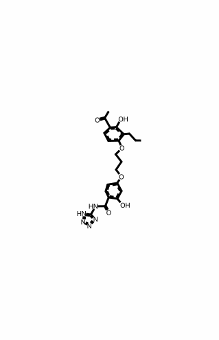 CCCc1c(OCCCOc2ccc(C(=O)Nc3nnn[nH]3)c(O)c2)ccc(C(C)=O)c1O